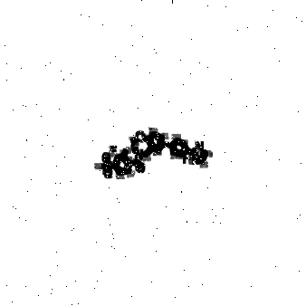 Cc1c(C(=O)N2CCOc3ccc(-c4ccc(-c5ncc[nH]5)cc4)cc3C2)ccc(S(C)(=O)=O)c1F